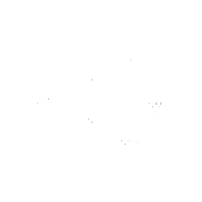 CNc1nc(Cl)c(NC)c(NC)n1